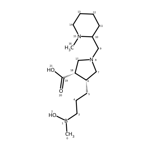 CB(O)CCC[C@H]1CN(CC2CCCCN2C)C[C@H]1C(=O)O